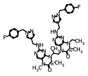 CCN1c2nc(NCc3cnn(Cc4ccc(F)cc4)c3)ncc2N(CC(C)N2c3nc(NCc4cnn(Cc5ccc(F)cc5)c4)ncc3N(C)C(=O)[C@H]2C)C(=O)[C@@H]1C